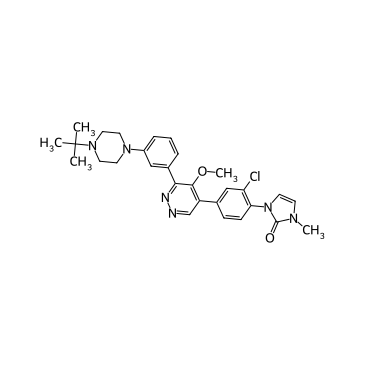 COc1c(-c2ccc(-n3ccn(C)c3=O)c(Cl)c2)cnnc1-c1cccc(N2CCN(C(C)(C)C)CC2)c1